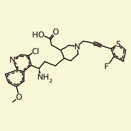 COc1ccc2ncc(Cl)c([C@H](N)CCC3CCN(CC#Cc4sccc4F)CC3CC(=O)O)c2c1